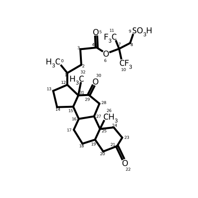 CC(CCC(=O)OC(CS(=O)(=O)O)(C(F)(F)F)C(F)(F)F)C1CCC2C3CCC4CC(=O)CCC4(C)C3CC(=O)C12C